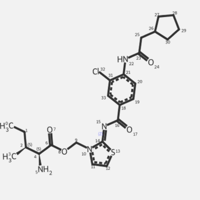 CC[C@H](C)[C@H](N)C(=O)OCn1ccs/c1=N\C(=O)c1ccc(NC(=O)CC2CCCC2)c(Cl)c1